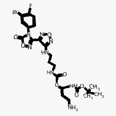 CC(C)(C)OC(=O)NC(CCN)OC(=O)NCCCNc1nonc1-c1noc(=O)n1-c1ccc(F)c(Br)c1